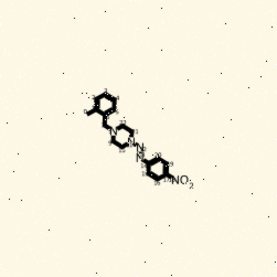 Cc1ccccc1CN1CCN(N=Nc2ccc([N+](=O)[O-])cc2)CC1